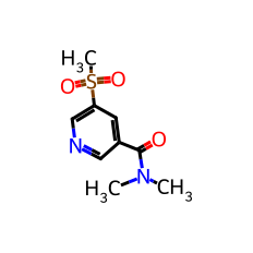 CN(C)C(=O)c1cncc(S(C)(=O)=O)c1